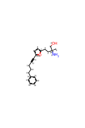 C[C@](N)(CO)CCc1ccc(C#CCCCc2ccccc2)o1